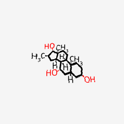 C[C@@H]1C[C@H]2[C@@H]3[C@@H](O)C[C@H]4C[C@H](O)CC[C@]4(C)[C@H]3CC[C@]2(C)[C@H]1O